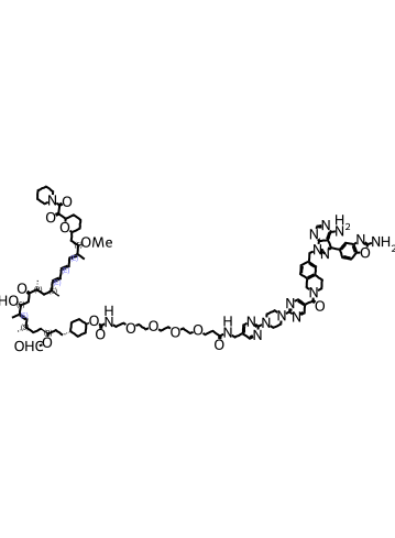 CO[C@@H](CC1CCCC(C(=O)C(=O)N2CCCCC2)O1)/C(C)=C/C=C/C=C/[C@@H](C)C[C@@H](C)C(=O)C[C@H](O)/C(C)=C/[C@@H](C)CC[C@@H](CC[C@H]1CC[C@H](OC(=O)NCCOCCOCCOCCOCCC(=O)NCc2cnc(N3CCN(c4ncc(C(=O)N5CCc6cc(Cn7nc(-c8ccc9oc(N)nc9c8)c8c(N)ncnc87)ccc6C5)cn4)CC3)nc2)CC1)OC=O